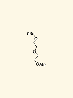 C[CH]CCOCCOCCOC